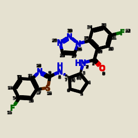 O=C(N[C@H]1CCC[C@@H]1Nc1nc2ccc(F)cc2s1)c1cc(F)ccc1-n1ccnn1